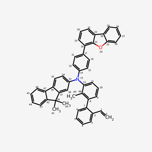 C=Cc1ccccc1-c1cccc(N(c2ccc(-c3cccc4c3oc3ccccc34)cc2)c2ccc3c(c2)C(C)(C)c2ccccc2-3)c1C